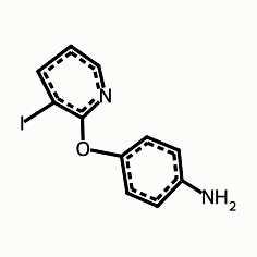 Nc1ccc(Oc2ncccc2I)cc1